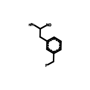 CCCC(Cc1cccc(CF)c1)N=O